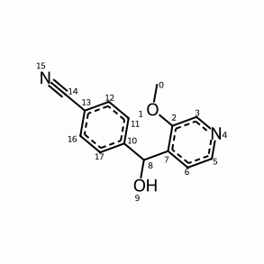 COc1cnccc1C(O)c1ccc(C#N)cc1